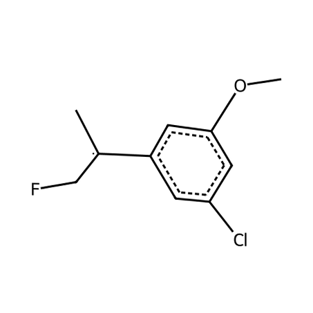 COc1cc(Cl)cc([C](C)CF)c1